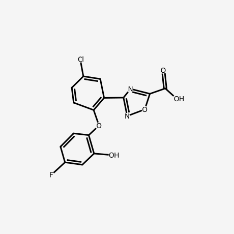 O=C(O)c1nc(-c2cc(Cl)ccc2Oc2ccc(F)cc2O)no1